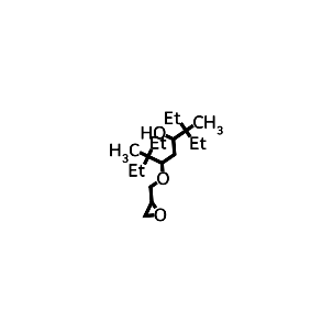 CCC(C)(CC)C(O)CC(OCC1CO1)C(C)(CC)CC